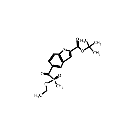 CCOP(C)(=O)C(=O)c1ccc2sc(C(=O)OC(C)(C)C)cc2c1